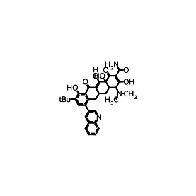 CN(C)C1C(O)=C(C(N)=O)C(=O)C2(O)C(O)=C3C(=O)c4c(O)c(C(C)(C)C)cc(-c5cnc6ccccc6c5)c4CC3CC12